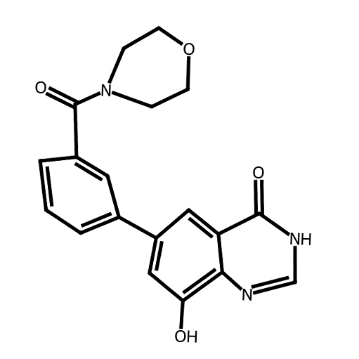 O=C(c1cccc(-c2cc(O)c3nc[nH]c(=O)c3c2)c1)N1CCOCC1